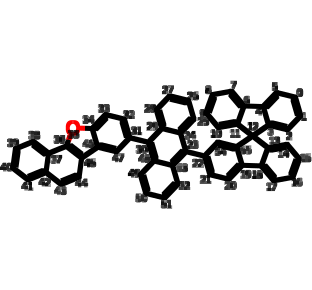 c1ccc2c(c1)-c1ccccc1C21c2ccccc2-c2ccc(-c3c4ccccc4c(-c4ccc5oc6c7ccccc7ccc6c5c4)c4ccccc34)cc21